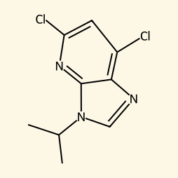 CC(C)n1cnc2c(Cl)cc(Cl)nc21